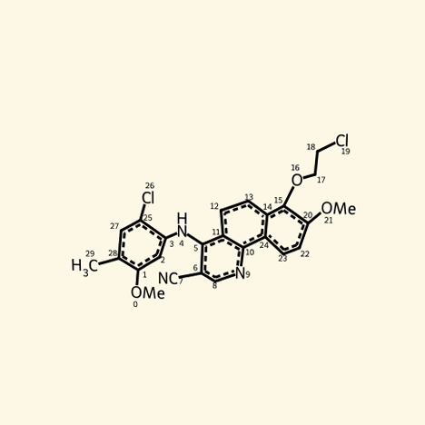 COc1cc(Nc2c(C#N)cnc3c2ccc2c(OCCCl)c(OC)ccc23)c(Cl)cc1C